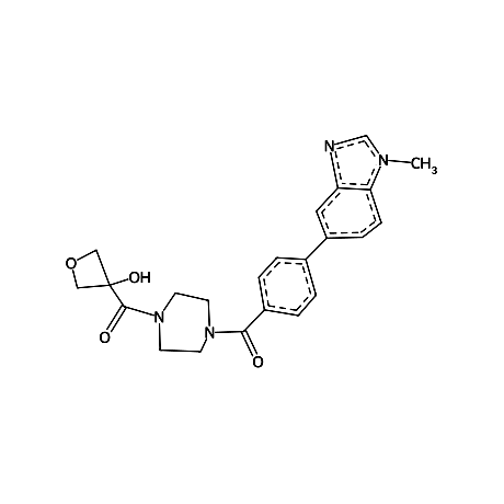 Cn1cnc2cc(-c3ccc(C(=O)N4CCN(C(=O)C5(O)COC5)CC4)cc3)ccc21